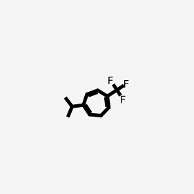 CC(C)C1=CCC=C(C(F)(F)F)C=C1